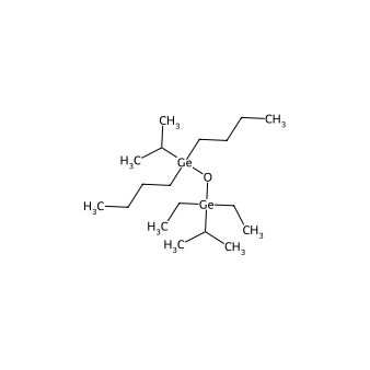 CCC[CH2][Ge]([CH2]CCC)([O][Ge]([CH2]C)([CH2]C)[CH](C)C)[CH](C)C